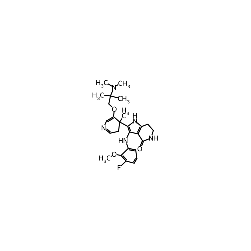 COc1c(F)cccc1Nc1c(C2(C)CC=NC=C2OCC(C)(C)N(C)C)[nH]c2c1C(=O)NCC2